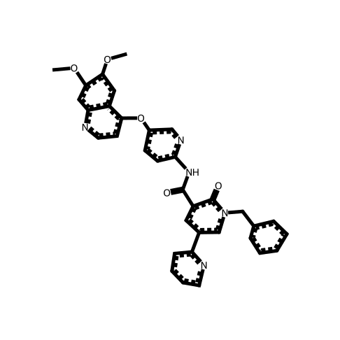 COc1cc2nccc(Oc3ccc(NC(=O)c4cc(-c5ccccn5)cn(Cc5ccccc5)c4=O)nc3)c2cc1OC